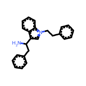 NC(Cc1ccccc1)c1cn(CCc2ccccc2)c2ccccc12